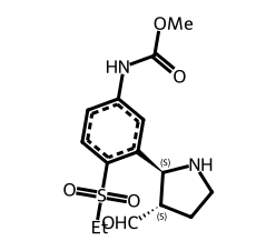 CCS(=O)(=O)c1ccc(NC(=O)OC)cc1[C@H]1NCC[C@@H]1C=O